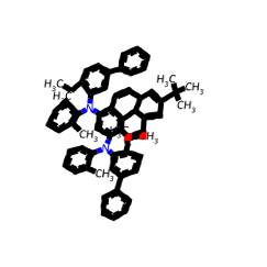 Cc1ccccc1N(c1cc(-c2ccccc2)ccc1C(C)C)c1cc(N(c2ccccc2C)c2cc(-c3ccccc3)ccc2C(C)C)c2c3c1C=CC1=CC(C(C)(C)C)=CC(C=C2)C13